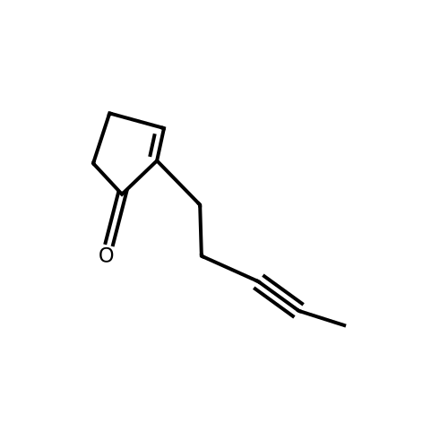 CC#CCCC1=CCCC1=O